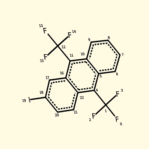 FC(F)(F)c1c2ccccc2c(C(F)(F)F)c2cc(I)ccc12